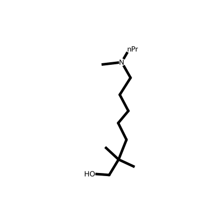 CCCN(C)CCCCCC(C)(C)CO